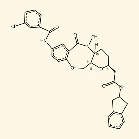 CN1C(=O)c2cc(NC(=O)c3cccc(Cl)c3)ccc2OC[C@@H]2O[C@H](CC(=O)NC3Cc4ccccc4C3)CC[C@@H]21